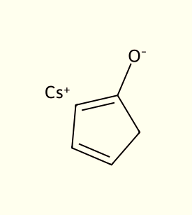 [Cs+].[O-]C1=CC=CC1